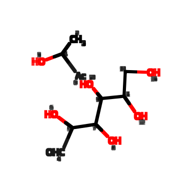 CC(=O)C(C)O.O=CC(O)C(O)C(O)C(O)CO